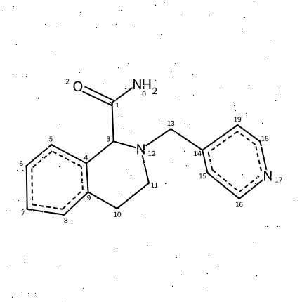 NC(=O)C1c2cc[c]cc2CCN1Cc1ccncc1